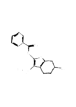 CCOC(=O)c1c(NC(=O)c2ccccc2)sc2c1CCC(CC)C2